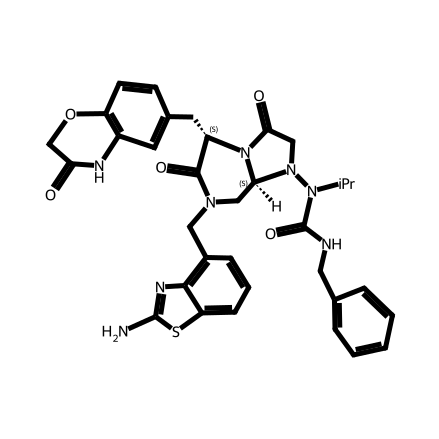 CC(C)N(C(=O)NCc1ccccc1)N1CC(=O)N2[C@@H](Cc3ccc4c(c3)NC(=O)CO4)C(=O)N(Cc3cccc4sc(N)nc34)C[C@@H]21